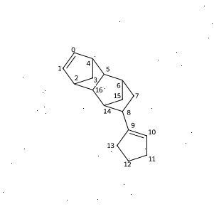 C1=CC2CC1C1C3CC(C4=CCCC4)C(C3)C21